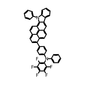 Fc1c(F)c(F)c(N(c2ccccc2)c2ccc(-c3ccc4ccc5c6c(ccc3c46)cc3c4ccccc4n(-c4ccccc4)c35)cc2)c(F)c1F